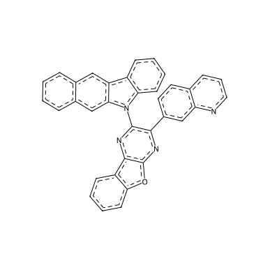 c1ccc2cc3c(cc2c1)c1ccccc1n3-c1nc2c(nc1-c1ccc3cccnc3c1)oc1ccccc12